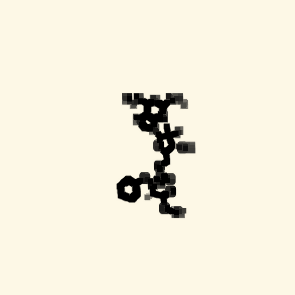 CC(C)OC(=O)[C@H](C)N(Oc1ccccc1)[PH](=O)OCC1O[C@@H](n2cnc3c(N)nc(N)nc32)[C@](C)(F)[C@@H]1O